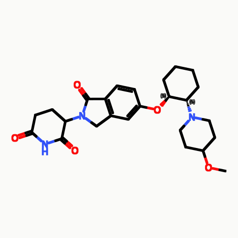 COC1CCN([C@H]2CCCC[C@@H]2Oc2ccc3c(c2)CN(C2CCC(=O)NC2=O)C3=O)CC1